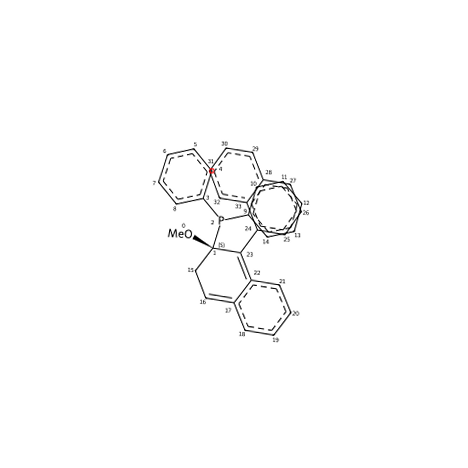 CO[C@]1(P(c2ccccc2)c2ccccc2)CC=c2ccccc2=C1c1cccc2ccccc12